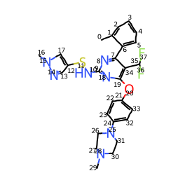 Cc1ccccc1-c1nc(NSc2cnn(C)c2)nc(Oc2ccc(N3CCN(C)CC3)cc2)c1C(F)F